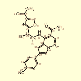 CC[C@@H](c1nc(C(N)=O)co1)[C@@H](C)Nc1c(C(N)=O)cnn2cc(-c3ccc(C#N)cc3)cc12